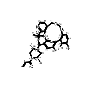 C=CC(=O)N1C[C@H](C)N(c2nc(=O)n3c4nc(c(F)cc24)-c2c(ccc(F)c2F)OCCCc2ccnc(C(C)C)c2-3)C[C@H]1C